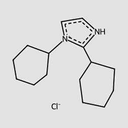 [Cl-].c1c[n+](C2CCCCC2)c(C2CCCCC2)[nH]1